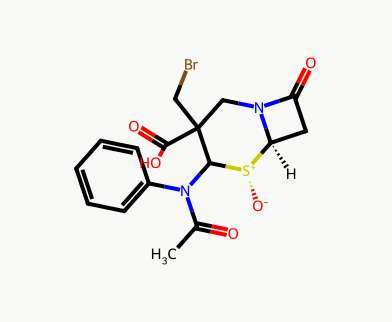 CC(=O)N(c1ccccc1)C1[S@@+]([O-])[C@@H]2CC(=O)N2CC1(CBr)C(=O)O